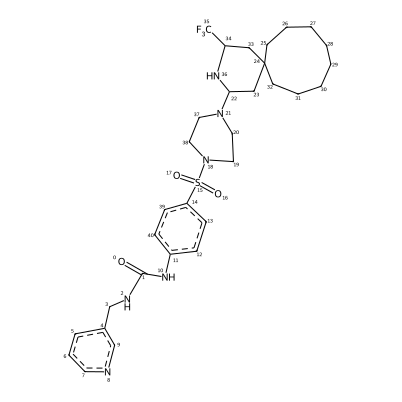 O=C(NCc1cccnc1)Nc1ccc(S(=O)(=O)N2CCN(C3CC4(CCCCCCCC4)CC(C(F)(F)F)N3)CC2)cc1